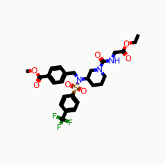 CCOC(=O)CNC(=O)N1CCCC(N(Cc2ccc(C(=O)OC)cc2)S(=O)(=O)c2ccc(C(F)(F)F)cc2)C1